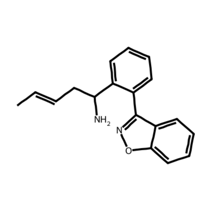 CC=CCC(N)c1ccccc1-c1noc2ccccc12